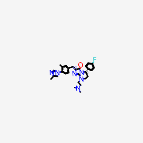 Cc1cn(-c2ccc(/C=C3\N=C4N(CCN(C)C)CC[C@@H](c5ccc(F)cc5)N4C3=O)cc2C)cn1